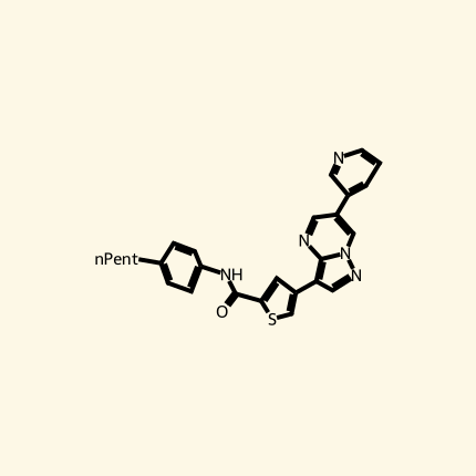 CCCCCc1ccc(NC(=O)c2cc(-c3cnn4cc(-c5cccnc5)cnc34)cs2)cc1